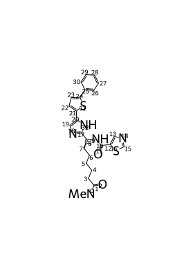 CNC(=O)CCCCC[C@H](NC(=O)c1cncs1)c1ncc(-c2ccc(-c3ccccc3)s2)[nH]1